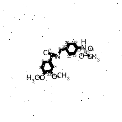 COc1ccc(C(Cl)=NCc2ccc(NS(C)(=O)=O)cc2)cc1OC